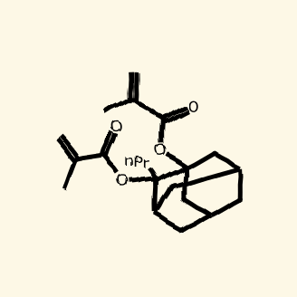 C=C(C)C(=O)OC12CC3CC(CC(C3)C1(CCC)OC(=O)C(=C)C)C2